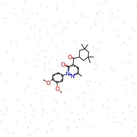 COc1ccc(-n2nc(C)cc(C(=O)C3CC(C)(C)CC(C)(C)C3)c2=O)cc1OC